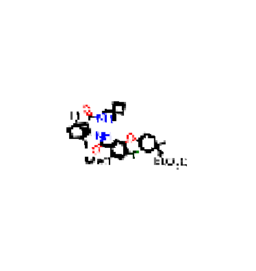 CCOC(=O)C[C@]1(C)CC[C@@H](Oc2cc(C(=O)N[C@@H]3[C@H]4CC[C@H](C4)[C@@H]3C(=O)NCC3(C)CCC3)c(OC)cc2F)CC1